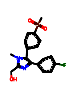 Cn1c(CO)nc(-c2ccc(F)cc2)c1-c1ccc(S(C)(=O)=O)cc1